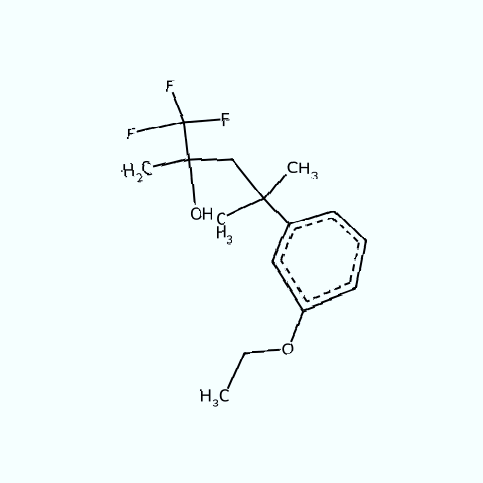 [CH2]C(O)(CC(C)(C)c1cccc(OCC)c1)C(F)(F)F